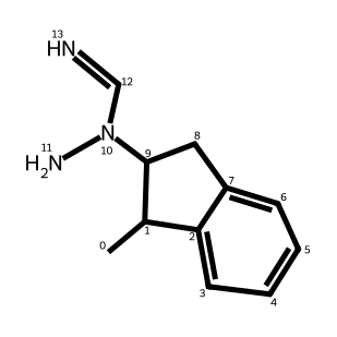 CC1c2ccccc2CC1N(N)C=N